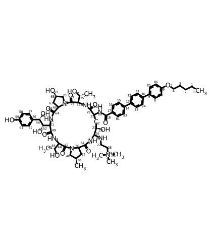 CCCCCOc1ccc(-c2ccc(-c3ccc(C(=O)NC4C[C@@H](O)C(NCC[N+](C)(C)C)NC(=O)C5C[C@@H](C)CN5C(=O)C([C@@H](C)O)NC(=O)C([C@H](O)[C@@H](O)c5ccc(O)cc5)NC(=O)C5C[C@@H](O)CN5C(=O)C([C@@H](C)O)NC4=O)cc3)cc2)cc1